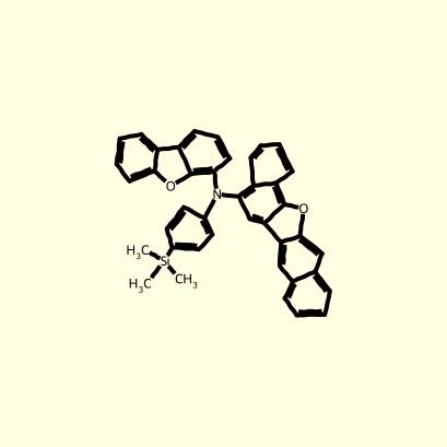 C[Si](C)(C)c1ccc(N(c2cc3c4cc5ccccc5cc4oc3c3ccccc23)c2cccc3c2oc2ccccc23)cc1